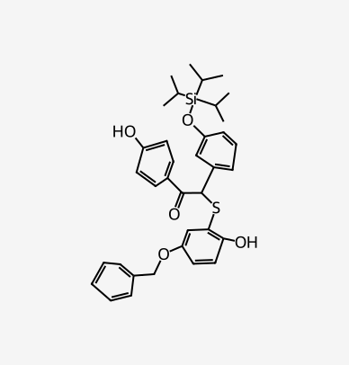 CC(C)[Si](Oc1cccc(C(Sc2cc(OCc3ccccc3)ccc2O)C(=O)c2ccc(O)cc2)c1)(C(C)C)C(C)C